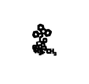 COC(=O)C[C@H](CCC1(c2ccccc2)c2ccccc2-c2ccccc21)C(=O)OCC(C)C